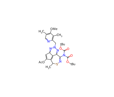 COc1c(C)cnc(Cn2nc3cc(OC(C)=O)c4c-3c(n2)C(N(C(=O)OC(C)(C)C)C(=O)OC(C)(C)C)=NSC4C)c1C